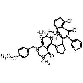 COc1ccc(CN2CN(C)C(=O)C3=C(N4CCCC4c4nc5cccc(Cl)c5c(=O)n4-c4cccnc4)N[C@](N)(SC)N=C32)cc1